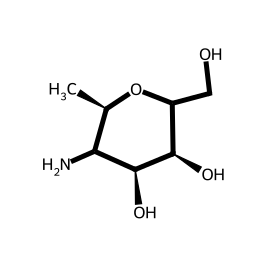 C[C@H]1OC(CO)[C@@H](O)[C@@H](O)C1N